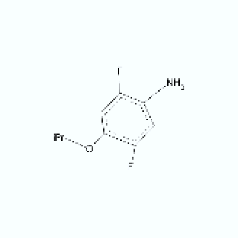 CC(C)Oc1cc(F)c(N)cc1F